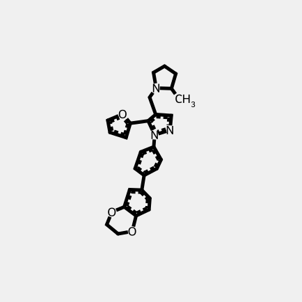 CC1CCCN1Cc1cnn(-c2ccc(-c3ccc4c(c3)OCCO4)cc2)c1-c1ccco1